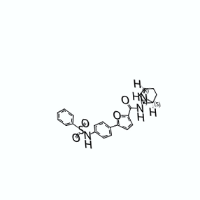 O=C(N[C@@H]1C[C@H]2CC[C@@H]1N2)c1ccc(-c2ccc(NS(=O)(=O)c3ccccc3)cc2)o1